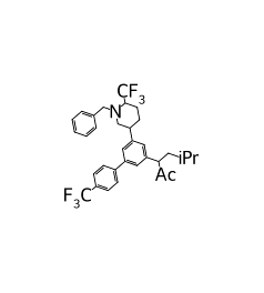 CC(=O)C(CC(C)C)c1cc(-c2ccc(C(F)(F)F)cc2)cc(C2CCC(C(F)(F)F)N(Cc3ccccc3)C2)c1